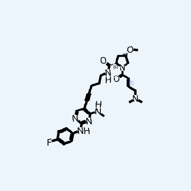 CNc1nc(Nc2ccc(F)cc2)ncc1C#CCCCNC(=O)[C@@H]1C[C@H](OC)CN1C(=O)/C=C/CN(C)C